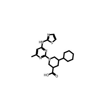 Cc1cc(Nc2nccs2)nc(N2CC(C(=O)O)CC(C3CCCCC3)C2)n1